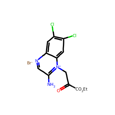 CCOC(=O)C(=O)C[n+]1c(N)cnc2cc(Cl)c(Cl)cc21.[Br-]